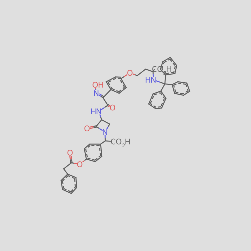 O=C(Cc1ccccc1)Oc1ccc(C(C(=O)O)N2CC(NC(=O)C(=NO)c3ccc(OCCC(NC(c4ccccc4)(c4ccccc4)c4ccccc4)C(=O)O)cc3)C2=O)cc1